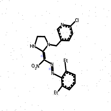 CCc1cccc(CC)c1/N=N/C(=C1/NCCN1Cc1ccc(Cl)nc1)[N+](=O)[O-]